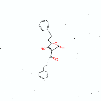 O=C(CCCc1ccccc1)C1=C(O)C(CCc2ccccc2)OC1=O